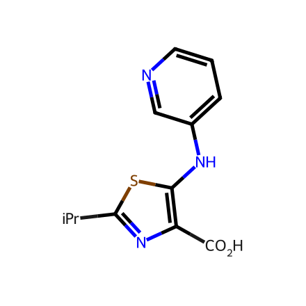 CC(C)c1nc(C(=O)O)c(Nc2cccnc2)s1